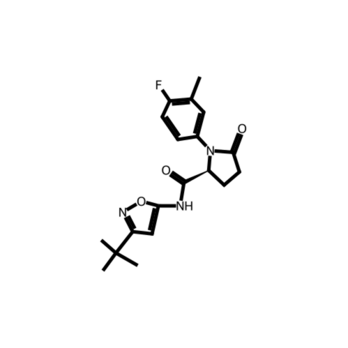 Cc1cc(N2C(=O)CC[C@H]2C(=O)Nc2cc(C(C)(C)C)no2)ccc1F